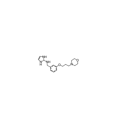 C1=CNC(NCc2cccc(OCCCN3CCOCC3)c2)N1